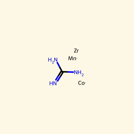 N=C(N)N.[Co].[Mn].[Zr]